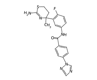 CC1(c2cc(NC(=O)c3ccc(-n4cncn4)cc3)ccc2F)CCSC(N)=N1